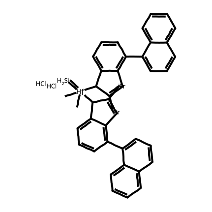 CC(C)C1=Cc2c(-c3cccc4ccccc34)cccc2[CH]1[Hf]([CH3])([CH3])(=[SiH2])[CH]1C(C(C)C)=Cc2c(-c3cccc4ccccc34)cccc21.Cl.Cl